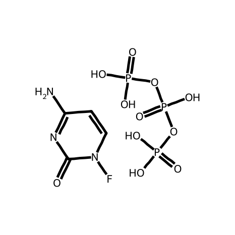 Nc1ccn(F)c(=O)n1.O=P(O)(O)OP(=O)(O)OP(=O)(O)O